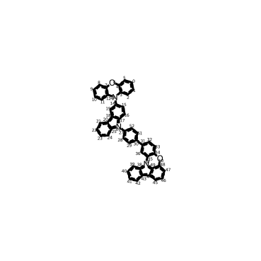 c1ccc2c(c1)Oc1ccccc1N2c1ccc2c(c1)c1ccccc1n2-c1ccc(-c2ccc3c(c2)-n2c4ccccc4c4cccc(c42)O3)cc1